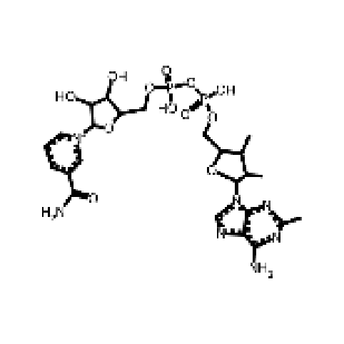 Cc1nc(N)c2ncn(C3OC(COP(=O)(O)OP(=O)(O)OCC4OC([n+]5cccc(C(N)=O)c5)C(O)C4O)C(C)C3C)c2n1